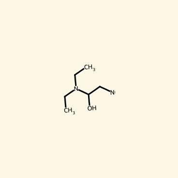 CCN(CC)C(O)C[N]